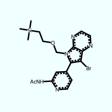 CC(=O)Nc1cc(-c2c(Br)c3nccnc3n2COCC[Si](C)(C)C)ccn1